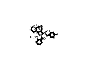 COc1ccccc1C(=O)n1nc(C2CCCOC2C(F)(F)F)c(C#N)c1N(C)Cc1ccc(F)cc1